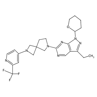 CCc1nn(C2CCCCO2)c2nc(N3CCC4(CN(c5ccnc(C(F)(F)F)c5)C4)C3)ncc12